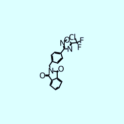 O=C1c2ccccc2C(=O)N1Cc1ccc(-c2noc(C(F)(F)Cl)n2)cc1